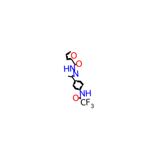 C/C(=N\NC(=O)c1ccco1)c1ccc(NC(=O)C(F)(F)F)cc1